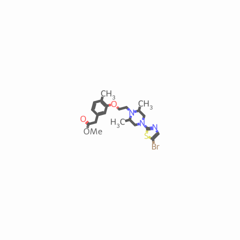 COC(=O)Cc1ccc(C)c(OCCN2C(C)CN(c3ncc(Br)s3)CC2C)c1